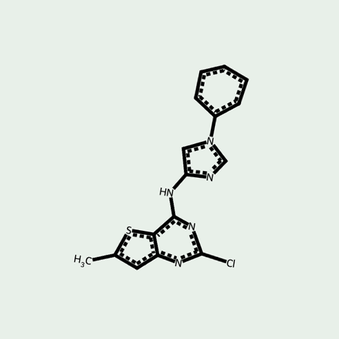 Cc1cc2nc(Cl)nc(Nc3cn(-c4ccccc4)cn3)c2s1